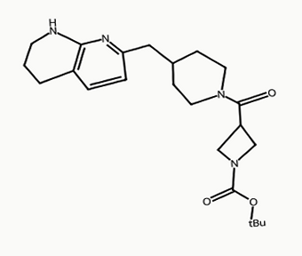 CC(C)(C)OC(=O)N1CC(C(=O)N2CCC(Cc3ccc4c(n3)NCCC4)CC2)C1